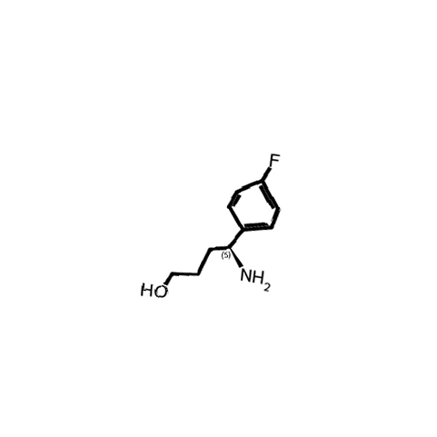 N[C@@H](CCCO)c1ccc(F)cc1